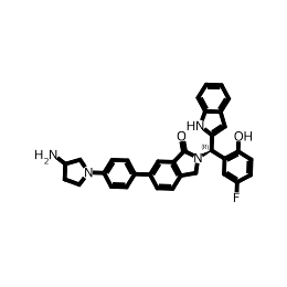 NC1CCN(c2ccc(-c3ccc4c(c3)C(=O)N([C@@H](c3cc5ccccc5[nH]3)c3cc(F)ccc3O)C4)cc2)C1